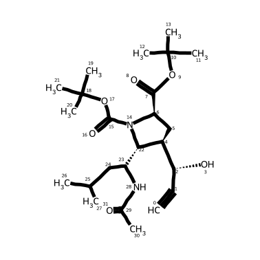 C#C[C@@H](O)[C@@H]1C[C@H](C(=O)OC(C)(C)C)N(C(=O)OC(C)(C)C)[C@H]1C(CC(C)C)NC(C)=O